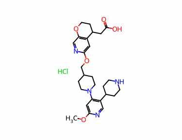 COc1cc(N2CCC(COc3cc4c(cn3)OCCC4CC(=O)O)CC2)c(C2CCNCC2)cn1.Cl